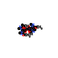 C=CC(=O)CC(c1ccccc1)c1nc2ccccc2n1-c1cc(-n2c(=O)c3cc4c(=O)n(-c5cc(-n6c(C(OC(=O)C=C)c7ccccc7)nc7ccccc76)cc(-n6c(C(C(=O)C=C)c7ccccc7)nc7ccccc76)c5)c(=O)c4cc3c2=O)cc(-n2c(C(CC(=O)CC)c3ccccc3)nc3ccccc32)c1